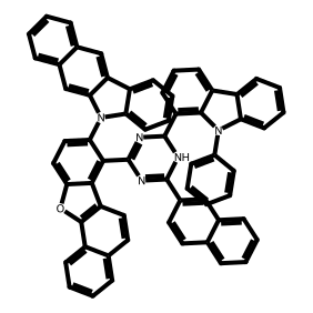 c1ccc(-n2c3ccccc3c3cccc(C4N=C(c5c(-n6c7ccccc7c7cc8ccccc8cc76)ccc6oc7c8ccccc8ccc7c56)N=C(c5ccc6ccccc6c5)N4)c32)cc1